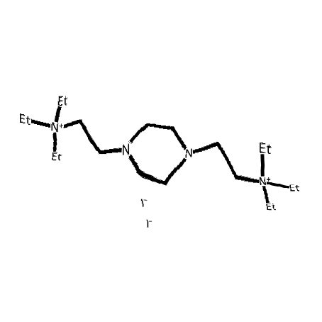 CC[N+](CC)(CC)CCN1CCN(CC[N+](CC)(CC)CC)CC1.[I-].[I-]